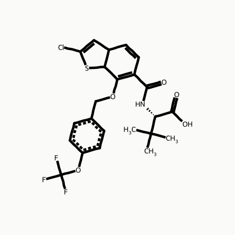 CC(C)(C)[C@H](NC(=O)C1=C(OCc2ccc(OC(F)(F)F)cc2)C2SC(Cl)=CC2C=C1)C(=O)O